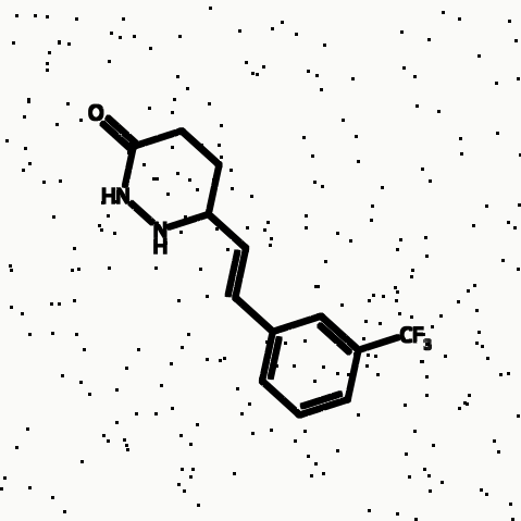 O=C1CCC(/C=C/c2cccc(C(F)(F)F)c2)NN1